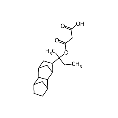 CCC(C)(OC(=O)CC(=O)O)C1CC2CC1C1C3CCC(C3)C21